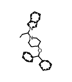 CCC(N1CCC(OC(c2ccccc2)c2ccccc2)CC1)n1cc2ccccc2c1